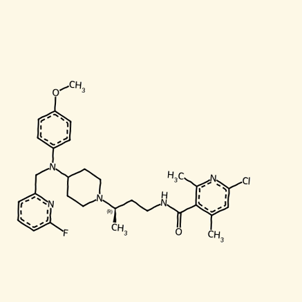 COc1ccc(N(Cc2cccc(F)n2)C2CCN([C@H](C)CCNC(=O)c3c(C)cc(Cl)nc3C)CC2)cc1